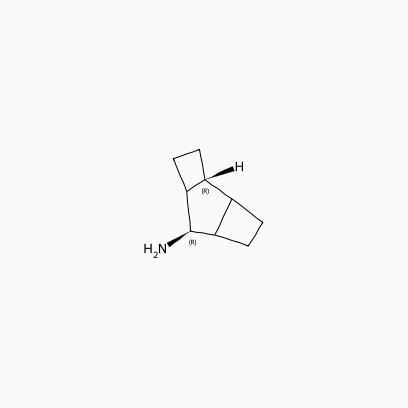 N[C@@H]1C2CCC2[C@H]2CCC12